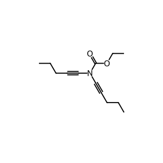 CCCC#CN(C#CCCC)C(=O)OCC